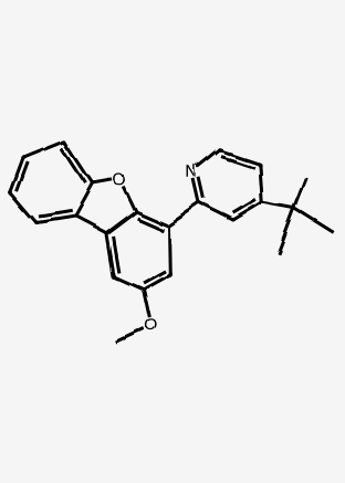 COc1cc(-c2cc(C(C)(C)C)ccn2)c2oc3ccccc3c2c1